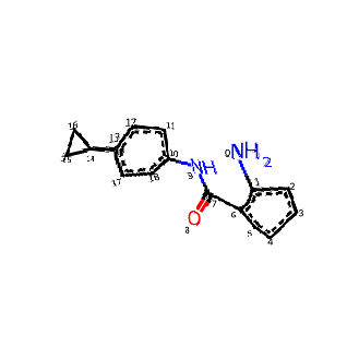 Nc1ccccc1C(=O)Nc1ccc(C2CC2)cc1